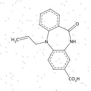 C=CCN1c2ccc(C(=O)O)cc2NC(=O)c2ccccc21